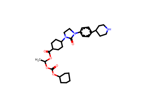 CC(OC(=O)OC1CCCCC1)OC(=O)C1CCC(N2CCN(c3ccc(C4CCNCC4)cc3)C2=O)CC1